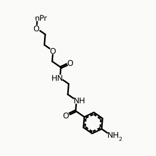 CCCOCCOCC(=O)NCCNC(=O)c1ccc(N)cc1